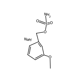 COc1cccc(COS(N)(=O)=O)c1.[NaH]